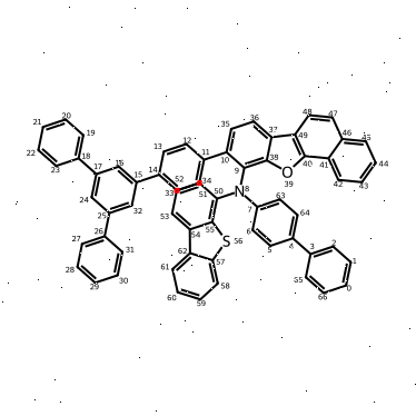 c1ccc(-c2ccc(N(c3c(-c4ccc(-c5cc(-c6ccccc6)cc(-c6ccccc6)c5)cc4)ccc4c3oc3c5ccccc5ccc43)c3cccc4c3sc3ccccc34)cc2)cc1